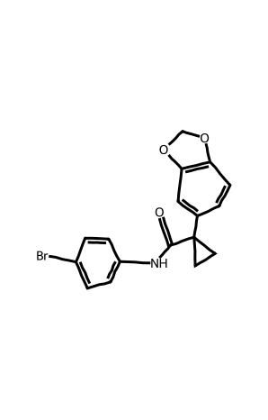 O=C(Nc1ccc(Br)cc1)C1(c2ccc3c(c2)OCO3)CC1